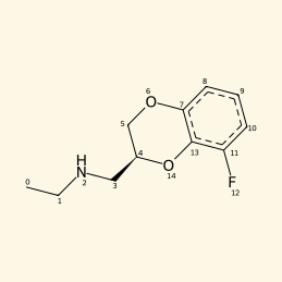 CCNC[C@H]1COc2cccc(F)c2O1